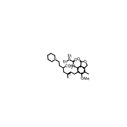 CCN(CC)C(=O)Nc1c(C/C=C(\C)CC(CCN2CCCCC2)C(=O)O)c(OC)c(C)c2c1C(=O)OC2